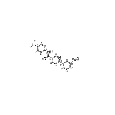 CC(C)c1ccc(NC(=O)c2ccc(-c3cccc(C#N)c3)nc2)cc1